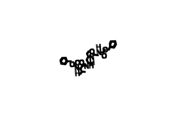 CCC(CC(C)NC(=O)C(NC(=O)OCc1ccccc1)C(C)C)NC(=O)CNC(=O)OCc1ccccc1